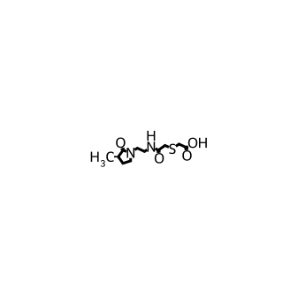 C[C@@H]1CCN(CCNC(=O)CSCC(=O)O)C1=O